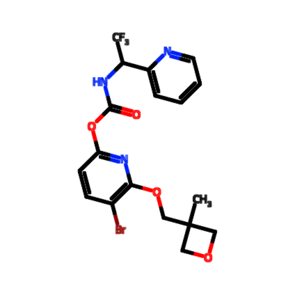 CC1(COc2nc(OC(=O)NC(c3ccccn3)C(F)(F)F)ccc2Br)COC1